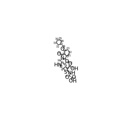 O=C(O)C(=O)Nc1sc2c(c1C(=O)O)CC(CN1C(=O)c3cccc(OCc4ccccc4)c3C1=O)NC2